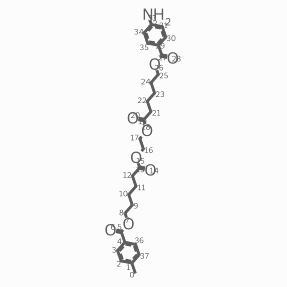 Cc1ccc(C(=O)OCCCCCC(=O)OCCOC(=O)CCCCCOC(=O)c2ccc(N)cc2)cc1